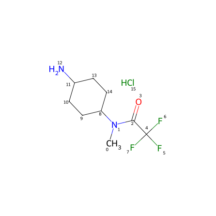 CN(C(=O)C(F)(F)F)C1CCC(N)CC1.Cl